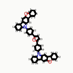 c1ccc2c(c1)oc1cc3c4ccccc4n(-c4ccc(-c5ccc(-c6ccc(-n7c8ccccc8c8cc9oc%10ccccc%10c9cc87)cc6)o5)cc4)c3cc12